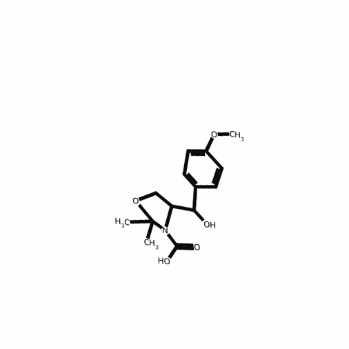 COc1ccc(C(O)C2COC(C)(C)N2C(=O)O)cc1